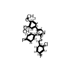 COc1ccc(-c2cnc(SCc3ccc(F)cc3Cl)n2-c2ccc(F)cc2)cc1OC